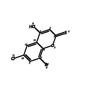 Oc1cc(=S)oc2c(Br)cc(Cl)cc12